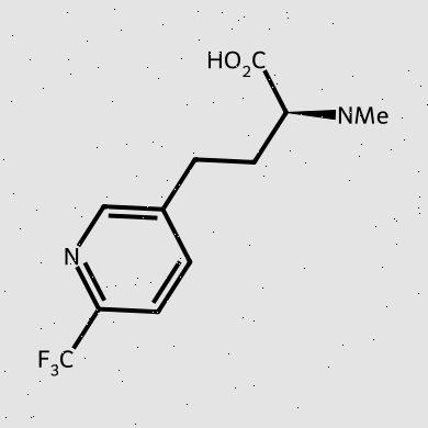 CN[C@@H](CCc1ccc(C(F)(F)F)nc1)C(=O)O